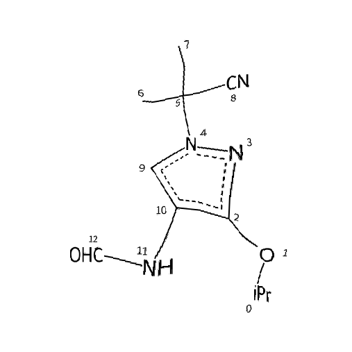 CC(C)Oc1nn(C(C)(C)C#N)cc1NC=O